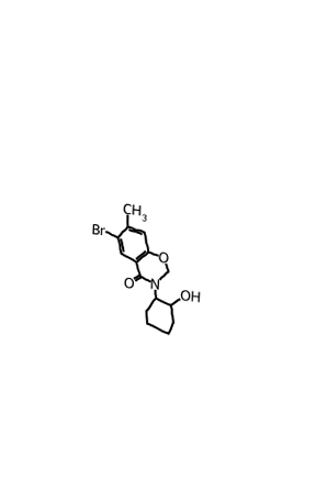 Cc1cc2c(cc1Br)C(=O)N(C1CCCCC1O)CO2